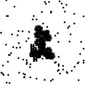 Cc1cn([C@H]2C[C@H](OC(=O)OCCN(Cc3ccccc3)CC3CCCCN3C(=O)OCC3c4ccccc4-c4ccccc43)[C@@H](CO[Si](c3ccccc3)(c3ccccc3)C(C)(C)C)O2)c(=O)[nH]c1=O